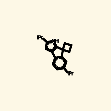 CC(C)c1ccc2c(c1)C1(CCC1)c1[nH]c(C(C)C)cc1-2